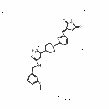 COc1cccc(CNC(=O)CC(N)C2CCN(c3nccc(/C=C4\SC(=O)NC4=O)n3)CC2)c1